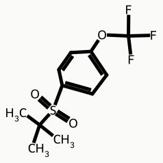 CC(C)(C)S(=O)(=O)c1ccc(OC(F)(F)F)cc1